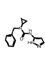 O=C(Nc1ccn[nH]1)N(Cc1ccccc1)C1CC1